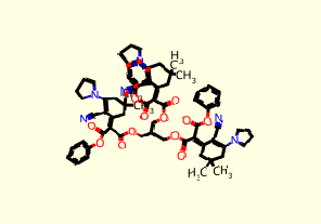 CC1(C)CC(N2CCCC2)=C(C#N)/C(=C(/C(=O)OCC(COC(=O)/C(C(=O)Oc2ccccc2)=C2\CC(C)(C)CC(N3CCCC3)=C2C#N)COC(=O)/C(C(=O)Oc2ccccc2)=C2\CC(C)(C)CC(N3CCCC3)=C2C#N)C(=O)Oc2ccccc2)C1